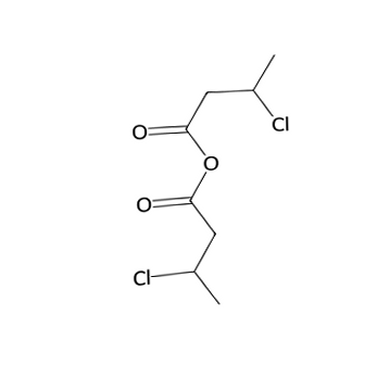 CC(Cl)CC(=O)OC(=O)CC(C)Cl